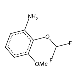 COc1cccc(N)c1OC(F)F